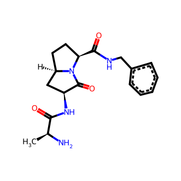 C[C@H](N)C(=O)N[C@H]1C[C@H]2CC[C@@H](C(=O)NCc3ccccc3)N2C1=O